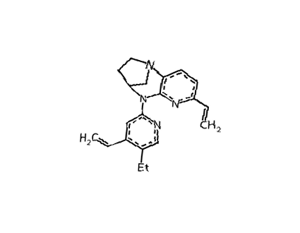 C=Cc1ccc2c(n1)N(c1cc(C=C)c(CC)cn1)C1CCN2C1